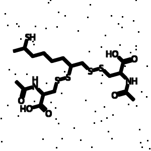 CC(=O)NC(CSSCC(CCCCC(C)S)SSCC(NC(C)=O)C(=O)O)C(=O)O